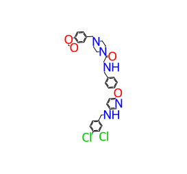 O=C(CNCc1ccc(Oc2ccc(NCc3ccc(Cl)c(Cl)c3)cn2)cc1)N1CCN(Cc2ccc3c(c2)OCO3)CC1